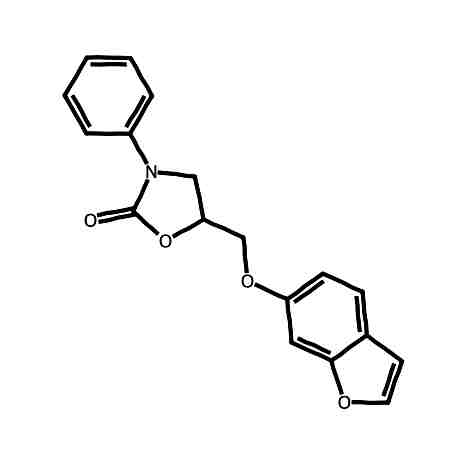 O=C1OC(COc2ccc3ccoc3c2)CN1c1ccccc1